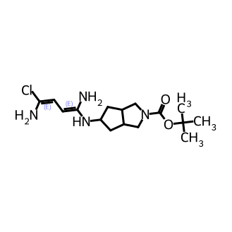 CC(C)(C)OC(=O)N1CC2CC(N/C(N)=C/C=C(\N)Cl)CC2C1